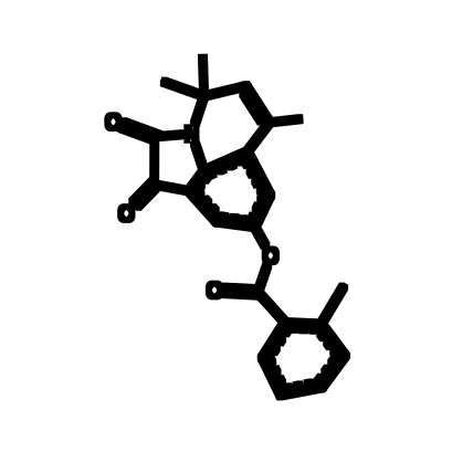 CC1=CC(C)(C)N2C(=O)C(=O)c3cc(OC(=O)c4ccccc4C)cc1c32